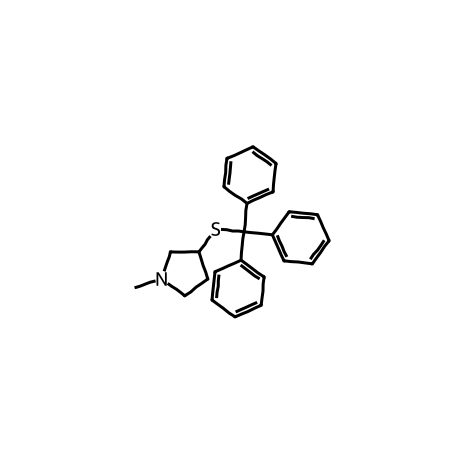 CN1CCC(SC(c2ccccc2)(c2ccccc2)c2ccccc2)C1